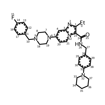 CCc1nc2cc(N3CCN(Cc4ccc(F)cc4)CC3)ccn2c1C(=O)NCc1ccc(N2CCCCC2)cc1